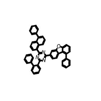 c1ccc(-c2ccccc2-c2nc(-c3ccc4c(c3)oc3cccc(-c5ccccc5)c34)nc(-c3cccc4c(-c5ccccc5)cccc34)n2)cc1